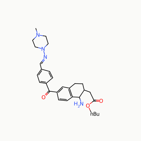 CCCCOC(=O)CC1CCc2cc(C(=O)c3ccc(C=NN4CCN(C)CC4)cc3)ccc2C1N